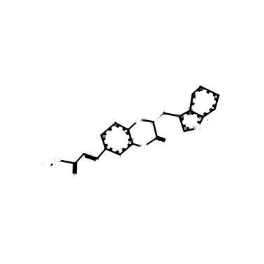 O=C(/C=C/c1ccc2c(c1)NC(=O)[C@H](Cc1c[nH]c3ccccc13)N2)NO